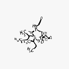 CC[CH](C)[Ti]1([CH](C)CC)[Ti][Ti]([NH]C=O)[Ti][Ti]([Cl])([Cl])([NH]C=O)[Ti]1